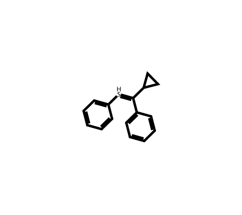 c1ccc([SH]=C(c2ccccc2)C2CC2)cc1